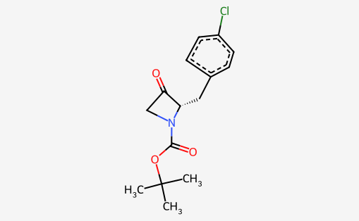 CC(C)(C)OC(=O)N1CC(=O)[C@@H]1Cc1ccc(Cl)cc1